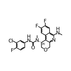 CNc1nc2c(c3cc(F)c(F)cc13)[C@@H](N(C)C(=O)Nc1ccc(F)c(Cl)c1)COC2